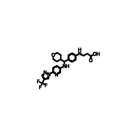 O=C(O)CCNc1ccc(C(Nc2ccc(-n3cc(C(F)(F)F)cn3)nc2)C2CCOCC2)cc1